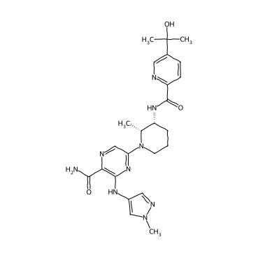 C[C@@H]1[C@H](NC(=O)c2ccc(C(C)(C)O)cn2)CCCN1c1cnc(C(N)=O)c(Nc2cnn(C)c2)n1